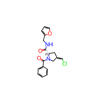 O=C(NCc1ccco1)[C@@H]1CC(=CCl)CN1C(=O)c1ccccc1